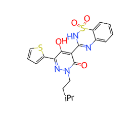 CC(C)CCn1nc(-c2cccs2)c(O)c(C2=Nc3ccccc3S(=O)(=O)N2)c1=O